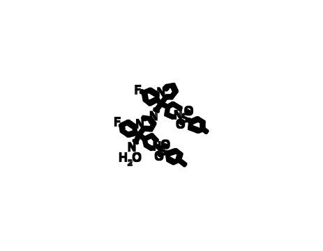 Cc1ccc(S(=O)(=O)N2CCC(C(C#N)(c3ccc(F)cc3)c3ccccn3)CC2)cc1.Cc1ccc(S(=O)(=O)N2CCC(C(C#N)(c3ccc(F)cc3)c3ccccn3)CC2)cc1.O